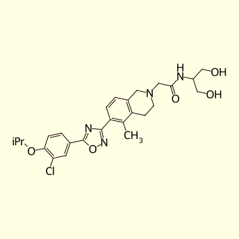 Cc1c(-c2noc(-c3ccc(OC(C)C)c(Cl)c3)n2)ccc2c1CCN(CC(=O)NC(CO)CO)C2